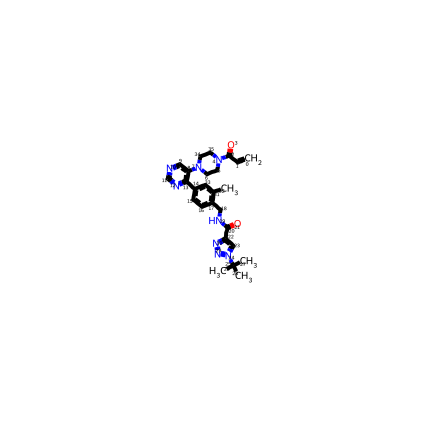 C=CC(=O)N1CCN(c2cncnc2-c2ccc(CNC(=O)c3cn(C(C)(C)C)nn3)c(C)c2)CC1